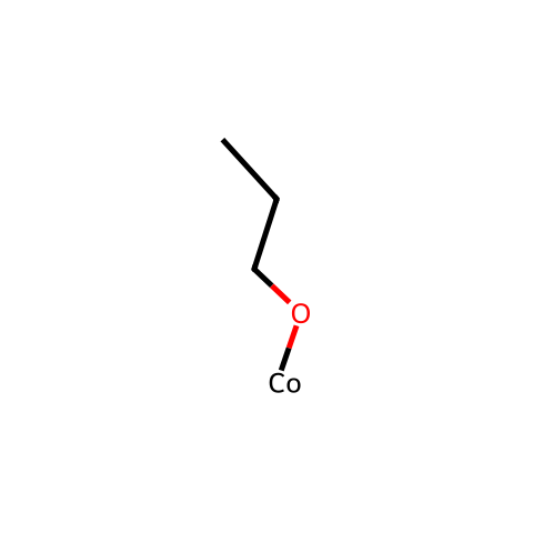 CCC[O][Co]